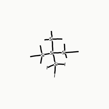 C[Si](C)(C)[Si]([Si](C)(C)C)([Si](C)(C)C)[Si](I)(I)I